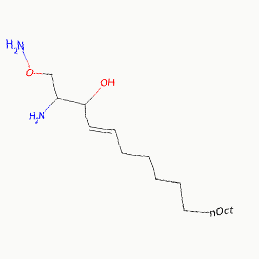 CCCCCCCCCCCCCC=CC(O)C(N)CON